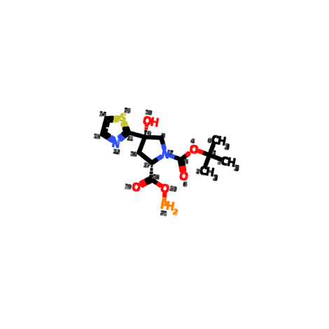 CC(C)(C)OC(=O)N1C[C@](O)(c2nccs2)C[C@H]1C(=O)OP